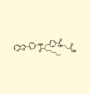 CCCCCCC(Cc1ccc(C(=O)NCCS(=O)O)cc1)C(=O)Nc1ccc(-c2cc3ccccc3o2)cc1